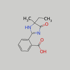 CCC1(C)NC(c2ccccc2C(=O)O)=NC1=O